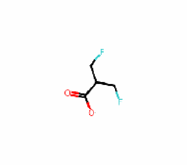 [O]C(=O)C(CF)CF